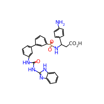 Nc1ccc(C(CC(=O)O)NS(=O)(=O)c2cccc(-c3cccc(NC(=O)Nc4nc5ccccc5[nH]4)c3)c2)cc1